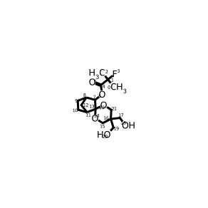 CC(C)(F)C(=O)OC1C2CCC(C2)C12OCC(CO)(CO)CO2